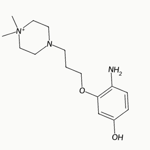 C[N+]1(C)CCN(CCCOc2cc(O)ccc2N)CC1